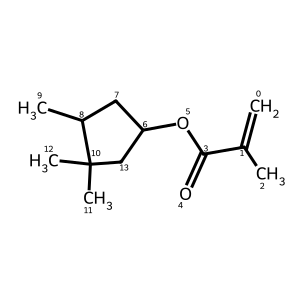 C=C(C)C(=O)OC1CC(C)C(C)(C)C1